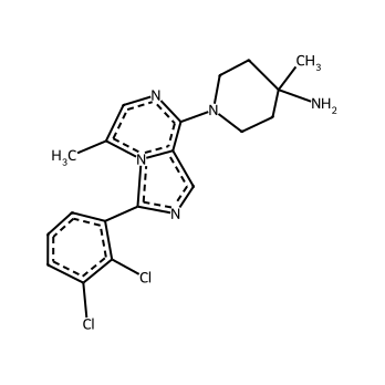 Cc1cnc(N2CCC(C)(N)CC2)c2cnc(-c3cccc(Cl)c3Cl)n12